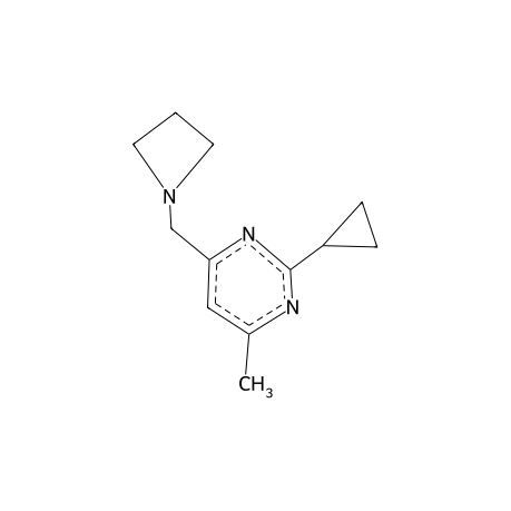 Cc1cc(CN2CCC2)nc(C2CC2)n1